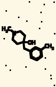 Cc1cccc(CC2(O)CCN(C)CC2)c1